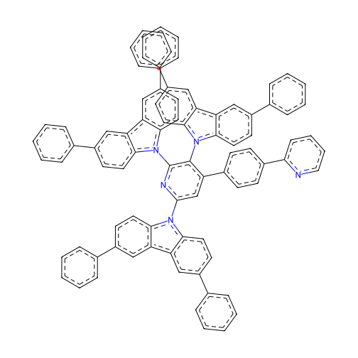 c1ccc(-c2ccc3c(c2)c2cc(-c4ccccc4)ccc2n3-c2cc(-c3ccc(-c4ccccn4)cc3)c(-n3c4ccc(-c5ccccc5)cc4c4cc(-c5ccccc5)ccc43)c(-n3c4ccc(-c5ccccc5)cc4c4cc(-c5ccccc5)ccc43)n2)cc1